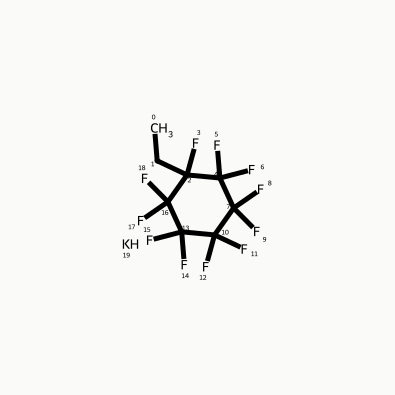 CCC1(F)C(F)(F)C(F)(F)C(F)(F)C(F)(F)C1(F)F.[KH]